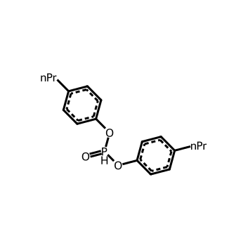 CCCc1ccc(O[PH](=O)Oc2ccc(CCC)cc2)cc1